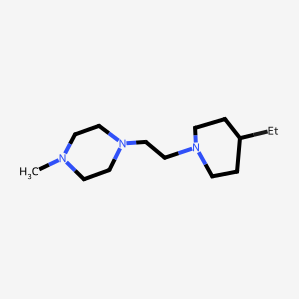 CCC1CCN(CCN2CCN(C)CC2)CC1